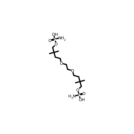 CC(C)(CCOCCOCCC(C)(C)COP(N)(=O)O)COP(N)(=O)O